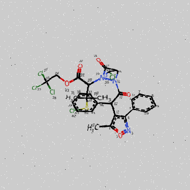 Cc1onc(-c2ccccc2)c1C(C(=O)N1C2C(=O)[N+]1(C(C(=O)OCC(Cl)(Cl)Cl)C(C)(C)SCl)C2Cl)c1ccccc1